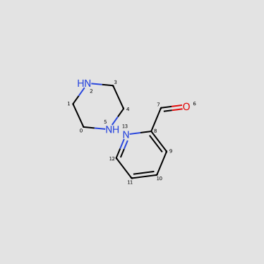 C1CNCCN1.O=Cc1ccccn1